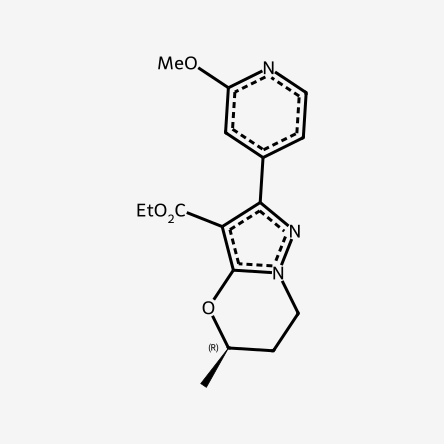 CCOC(=O)c1c(-c2ccnc(OC)c2)nn2c1O[C@H](C)CC2